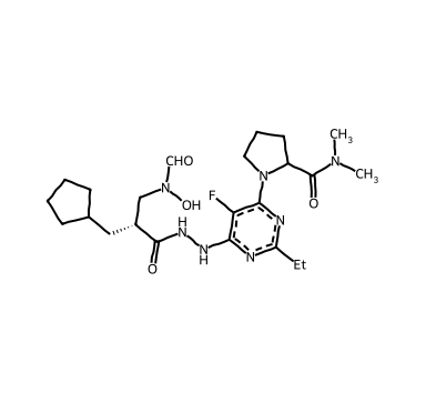 CCc1nc(NNC(=O)[C@H](CC2CCCC2)CN(O)C=O)c(F)c(N2CCCC2C(=O)N(C)C)n1